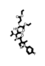 CCOC(=O)CC[C@@H](NC(=O)[C@H](C(C)C)N(C)C(=O)c1cnn(-c2ccc(F)cc2)c1C)C(=O)OCC